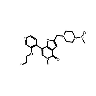 Cn1cc(-c2ccncc2OCCF)c2oc(CN3CCN([S+](C)[O-])CC3)cc2c1=O